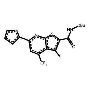 Cc1c(C(=O)NC(C)(C)C)sc2nc(-c3cccs3)cc(C(F)(F)F)c12